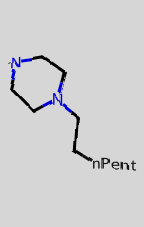 CCCCCCCN1CC[N]CC1